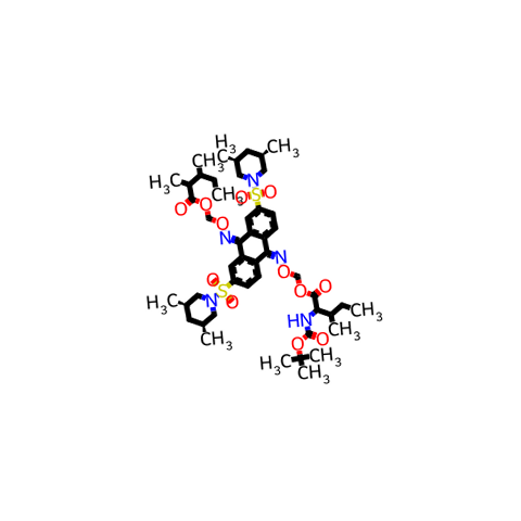 CCC(C)C(C)C(=O)OCON=C1c2cc(S(=O)(=O)N3C[C@H](C)C[C@H](C)C3)ccc2C(=NOCOC(=O)C(NC(=O)OC(C)(C)C)C(C)CC)c2ccc(S(=O)(=O)N3C[C@H](C)C[C@H](C)C3)cc21